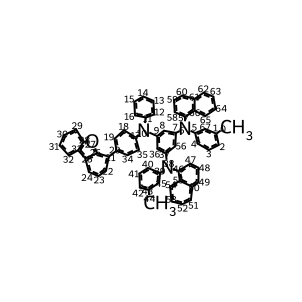 Cc1cccc(N(c2cc(N(c3ccccc3)c3ccc(-c4cccc5c4oc4ccccc45)cc3)cc(N(c3cccc(C)c3)c3cccc4ccccc34)c2)c2cccc3ccccc23)c1